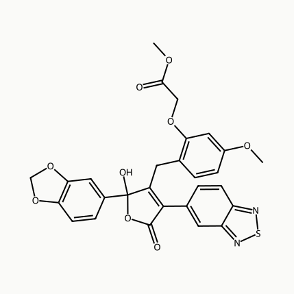 COC(=O)COc1cc(OC)ccc1CC1=C(c2ccc3nsnc3c2)C(=O)OC1(O)c1ccc2c(c1)OCO2